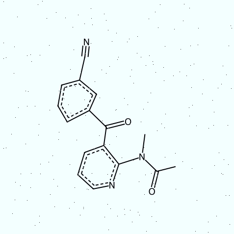 CC(=O)N(C)c1ncccc1C(=O)c1cccc(C#N)c1